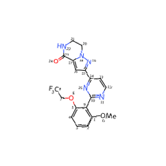 COc1cccc(OCC(F)(F)F)c1-c1nccc(-c2cc3n(n2)CCNC3=O)n1